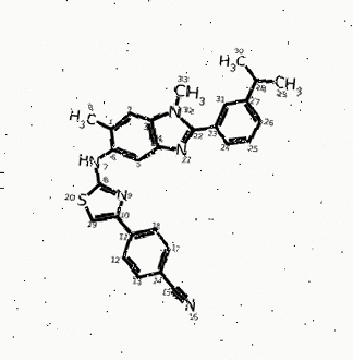 Cc1cc2c(cc1Nc1nc(-c3ccc(C#N)cc3)cs1)nc(-c1cccc(C(C)C)c1)n2C